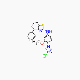 COc1cc(Nc2nc3c(s2)CCCC3c2ccccc2)ccc1N1C=NC(Cl)C1